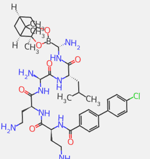 CC(C)C[C@H](NC(=O)[C@H](N)NC(=O)[C@H](CCN)NC(=O)[C@H](CCN)NC(=O)c1ccc(-c2ccc(Cl)cc2)cc1)C(=O)N[C@@H](N)B1OC2C[C@@H]3C[C@@H](C3(C)C)[C@]2(C)O1